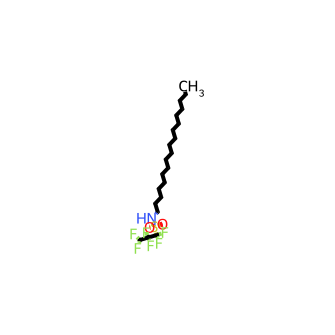 CCCCCCCCCCCCCCCCCCNS(=O)(=O)C(F)(F)C(F)(F)C(F)F